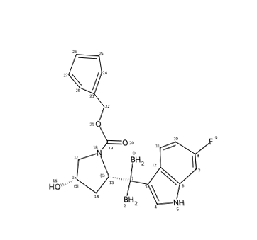 BC(B)(c1c[nH]c2cc(F)ccc12)[C@@H]1C[C@H](O)CN1C(=O)OCc1ccccc1